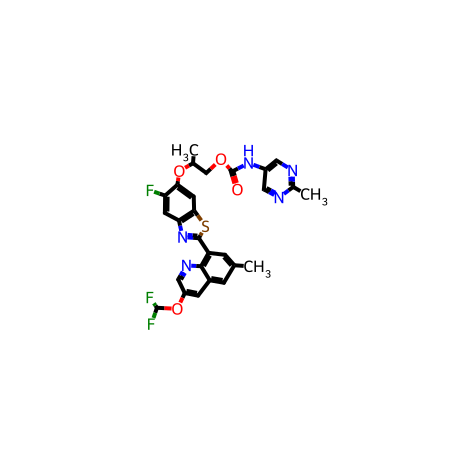 Cc1cc(-c2nc3cc(F)c(OC(C)COC(=O)Nc4cnc(C)nc4)cc3s2)c2ncc(OC(F)F)cc2c1